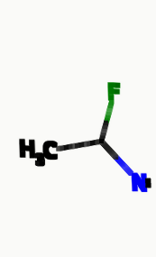 CC([N])F